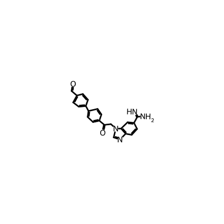 N=C(N)c1ccc2ncn(CC(=O)c3ccc(-c4ccc(C=O)cc4)cc3)c2c1